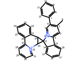 Cc1cc2[n+](cc1-c1ccccc1)C1(c3ccccc3-2)C2c3ccccc3-c3cccc[n+]3C21